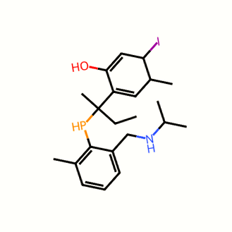 CCC(C)(Pc1c(C)cccc1CNC(C)C)C1=CC(C)C(I)C=C1O